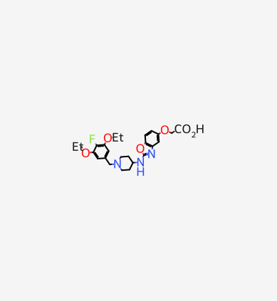 CCOc1cc(CN2CCC(Nc3nc4cc(OCC(=O)O)ccc4o3)CC2)cc(OCC)c1F